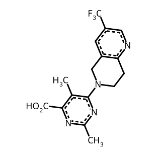 Cc1nc(C(=O)O)c(C)c(N2CCc3ncc(C(F)(F)F)cc3C2)n1